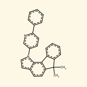 CC1(C)c2ccccc2-c2c1ccc1ccn(-c3ccc(-c4ccccc4)nc3)c21